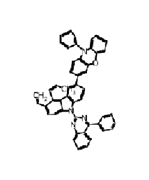 C=Cc1ccc2c(c1/C=C\C)c1cc(-c3ccc4c(c3)Oc3ccccc3N4c3ccccc3)ccc1n2-c1nc(-c2ccccc2)c2ccccc2n1